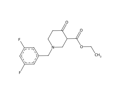 CCOC(=O)C1CN(Cc2cc(F)cc(F)c2)CCC1=O